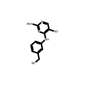 CSc1ncc(N=O)c(Nc2cccc(CC#N)c2)n1